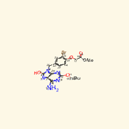 CCCCOc1nc(N)c2nc(O)n(Cc3ccc(OCC(=O)OC)c(Br)c3)c2n1